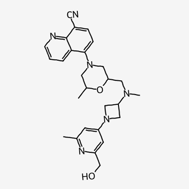 Cc1cc(N2CC(N(C)CC3CN(c4ccc(C#N)c5ncccc45)CC(C)O3)C2)cc(CO)n1